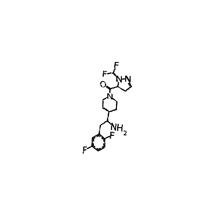 NC(Cc1cc(F)ccc1F)C1CCN(C(=O)C2CC=NN2C(F)F)CC1